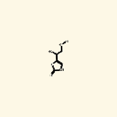 O=c1[nH]cc(C(O)CNCl)o1